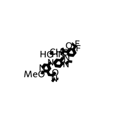 COc1ncc(N(C)c2ccc3nc(C)nc(NC(C)c4cccc5c4OCC5(F)F)c3c2)cc1CC(=O)N(C)C.O=CO